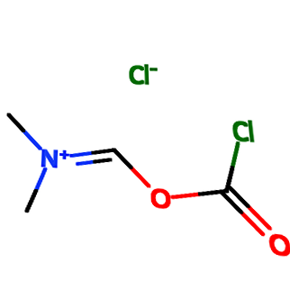 C[N+](C)=COC(=O)Cl.[Cl-]